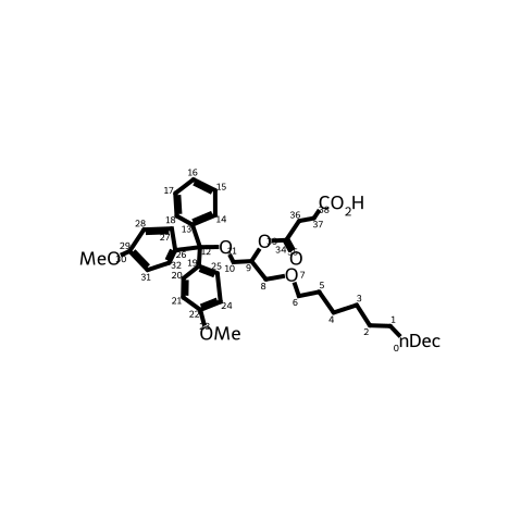 CCCCCCCCCCCCCCCCOCC(COC(c1ccccc1)(c1ccc(OC)cc1)c1ccc(OC)cc1)OC(=O)CCC(=O)O